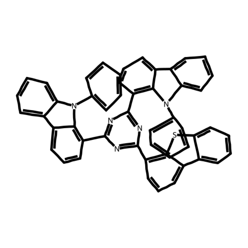 c1ccc(-n2c3ccccc3c3cccc(-c4nc(-c5cccc6c5sc5ccccc56)nc(-c5cccc6c7ccccc7n(-c7ccccc7)c56)n4)c32)cc1